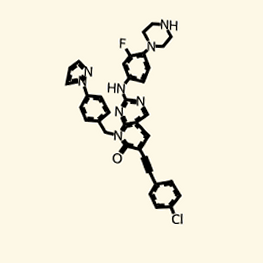 O=c1c(C#Cc2ccc(Cl)cc2)cc2cnc(Nc3ccc(N4CCNCC4)c(F)c3)nc2n1Cc1ccc(-n2cccn2)cc1